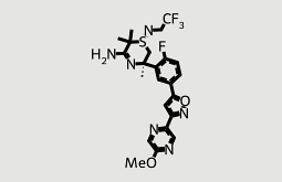 COc1cnc(-c2cc(-c3ccc(F)c([C@]4(C)C/S(=N\CC(F)(F)F)C(C)(C)C(N)=N4)c3)on2)cn1